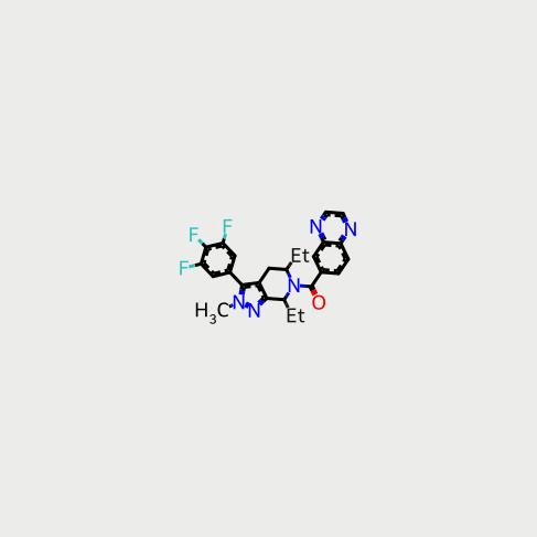 CCC1Cc2c(nn(C)c2-c2cc(F)c(F)c(F)c2)C(CC)N1C(=O)c1ccc2nccnc2c1